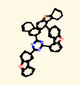 C1=Cc2cc(-c3nc(-c4ccc5oc6ccccc6c5c4)nc(-c4cccc5oc6ccc(-c7cccc8sc9c(c78)CCC=C9)cc6c45)n3)ccc2CC1